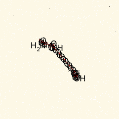 CCCN(OCC)C(=O)C1=Cc2ccc(-c3ccc(C(=O)N4C[C@H](OC)CC4C(=O)NCCOCCOCCOCCOCCOCCOCCOCCOCCOCCOCCC(=O)Oc4c(F)c(F)c(S(=O)(=O)O)c(F)c4F)cc3)cc2N=C(N)C1